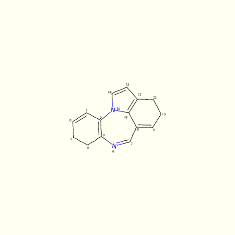 C1=CC2=C(CC1)N=CC1=CCCc3ccn2c31